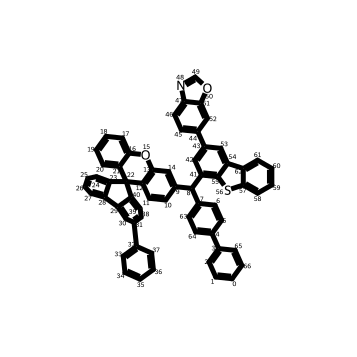 c1ccc(-c2ccc(C(c3ccc4c(c3)Oc3ccccc3C43c4ccccc4-c4cc(-c5ccccc5)ccc43)c3cc(-c4ccc5ncoc5c4)cc4c3sc3ccccc34)cc2)cc1